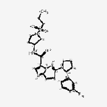 CCCS(=O)(=O)N1CC[C@H](NC(=O)c2cnc3ccc(N4CCC[C@@H]4c4cccc(F)c4)nn23)C1